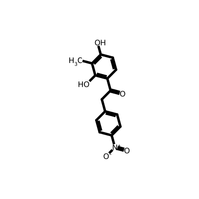 Cc1c(O)ccc(C(=O)Cc2ccc([N+](=O)[O-])cc2)c1O